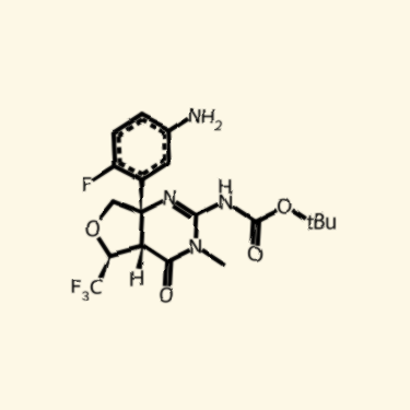 CN1C(=O)[C@@H]2[C@@H](C(F)(F)F)OC[C@]2(c2cc(N)ccc2F)N=C1NC(=O)OC(C)(C)C